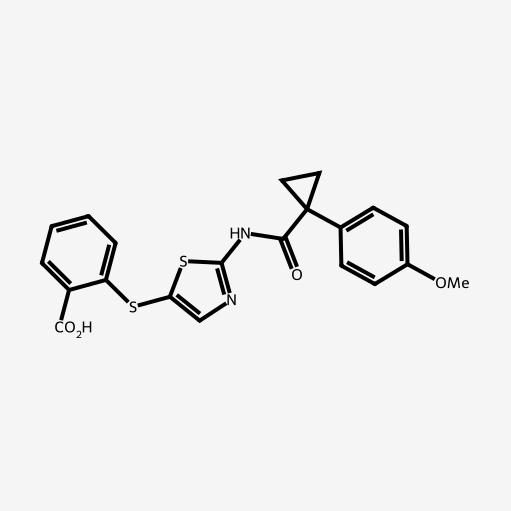 COc1ccc(C2(C(=O)Nc3ncc(Sc4ccccc4C(=O)O)s3)CC2)cc1